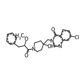 COC(Cc1ccccc1)C(=O)N1CCC(O)(Cn2cnc3cc(Cl)ccc3c2=O)CC1